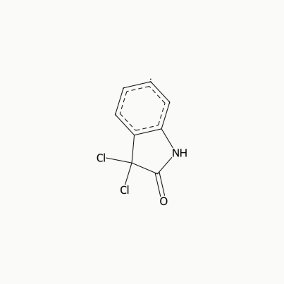 O=C1Nc2c[c]ccc2C1(Cl)Cl